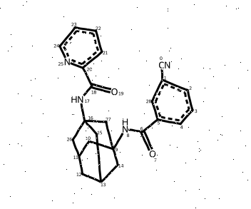 N#Cc1cccc(C(=O)NC23CC4CC(C2)CC(NC(=O)c2ccccn2)(C4)C3)c1